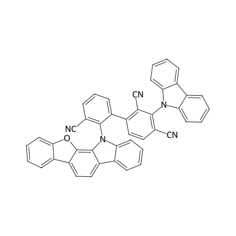 N#Cc1ccc(-c2cccc(C#N)c2-n2c3ccccc3c3ccc4c5ccccc5oc4c32)c(C#N)c1-n1c2ccccc2c2ccccc21